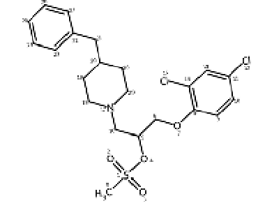 CS(=O)(=O)OC(COc1ccc(Cl)cc1Cl)CN1CCC(Cc2ccccc2)CC1